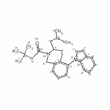 CN(C)CC1Cc2c(cccc2-n2nnc3ccccc32)CN1C(=O)OC(C)(C)C